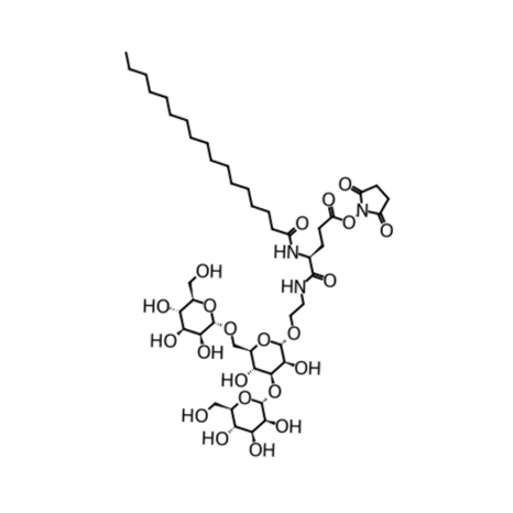 CCCCCCCCCCCCCCCCC(=O)N[C@@H](CCC(=O)ON1C(=O)CCC1=O)C(=O)NCCO[C@H]1O[C@H](CO[C@H]2O[C@H](CO)[C@@H](O)[C@H](O)[C@@H]2O)[C@@H](O)[C@H](O[C@H]2O[C@H](CO)[C@@H](O)[C@H](O)[C@@H]2O)[C@@H]1O